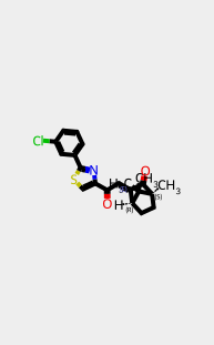 CC1(C)[C@H]2CC[C@]1(C)C(=O)/C2=C/C(=O)c1csc(-c2cccc(Cl)c2)n1